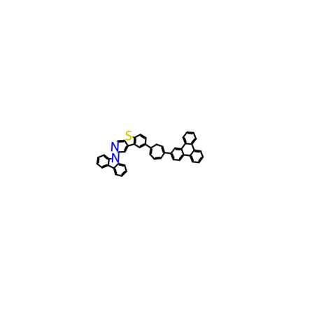 C1=CC(c2ccc3c4ccccc4c4ccccc4c3c2)=CCC(c2ccc3sc4cnc(-n5c6ccccc6c6ccccc65)cc4c3c2)=C1